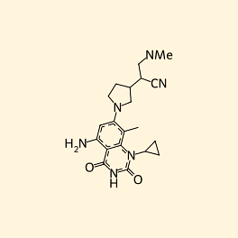 CNCC(C#N)C1CCN(c2cc(N)c3c(=O)[nH]c(=O)n(C4CC4)c3c2C)C1